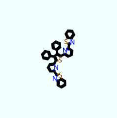 c1ccc(-c2c(-c3cccc(-c4nc5ccccc5s4)n3)sc(-c3cccc(-c4nc5ccccc5s4)n3)c2-c2ccccc2)cc1